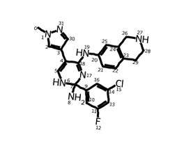 Cn1cc(C2=CNC(N)(c3cc(F)cc(Cl)c3)N=C2Nc2ccc3c(c2)CNCC3)cn1